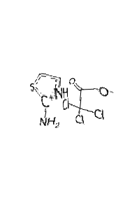 N[c+]1[nH]ccs1.O=C([O-])C(Cl)(Cl)Cl